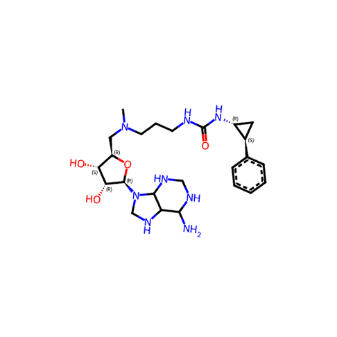 CN(CCCNC(=O)N[C@@H]1C[C@H]1c1ccccc1)C[C@H]1O[C@@H](N2CNC3C(N)NCNC32)[C@H](O)[C@@H]1O